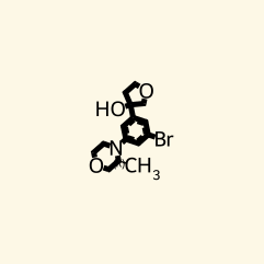 C[C@@H]1COCCN1c1cc(Br)cc(C2(O)CCOC2)c1